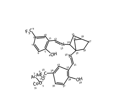 CC(=O)[O-].CC(=O)[O-].Oc1ccc(C(F)(F)F)cc1C=NC1CC2CCC1(N=Cc1cc(C(F)(F)F)ccc1O)C2.[Co+2]